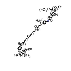 CCCCOc1nc(N)c2nc(O)n(Cc3ccc(C(=O)NCCCOCCOCCOCCCNC(=O)CCCOc4ccc(/C=C/C(=O)NCC(=O)N[C@@H](C)C(=O)N[C@H](CCC(=O)OCC)C(=O)OCC)cc4OC)cc3)c2n1